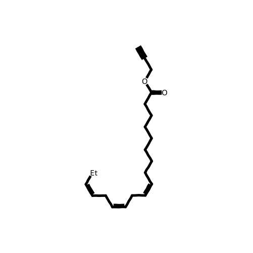 C#CCOC(=O)CCCCCCC/C=C\C/C=C\C/C=C\CC